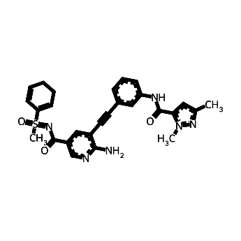 Cc1cc(C(=O)Nc2cccc(C#Cc3cc(C(=O)N=S(C)(=O)C4=CCCC=C4)cnc3N)c2)n(C)n1